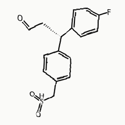 O=CC[C@H](c1ccc(F)cc1)c1ccc(C[SH](=O)=O)cc1